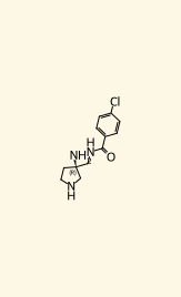 N[C@]1(CNC(=O)c2ccc(Cl)cc2)CCNC1